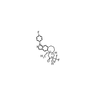 CC[C@]12CC(=O)[C@@](O)(C(F)(F)F)C[C@@H]1CCCc1cc3c(cnn3-c3ccc(F)cc3)cc12